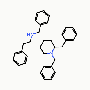 c1ccc(CC2CCCCN2Cc2ccccc2)cc1.c1ccc(CCNCc2ccccc2)cc1